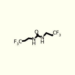 O=C(NCCC(F)(F)F)NCCC(F)(F)F